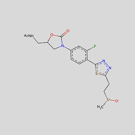 CC(=O)NCC1CN(c2ccc(-c3nnc(CC[S+](C)[O-])s3)c(F)c2)C(=O)O1